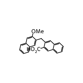 COc1cc2ccccc2cc1Cc1cc2ccccc2cc1C(=O)O